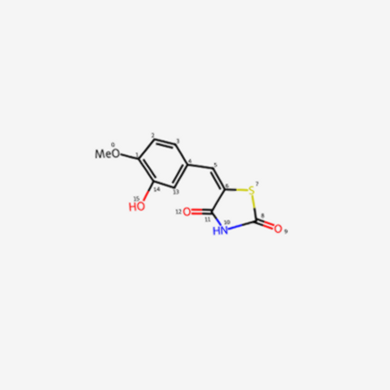 COc1ccc(/C=C2/SC(=O)NC2=O)cc1O